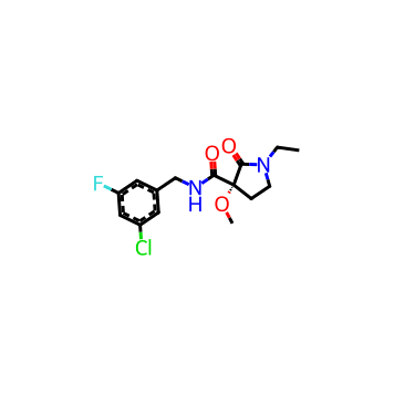 CCN1CC[C@@](OC)(C(=O)NCc2cc(F)cc(Cl)c2)C1=O